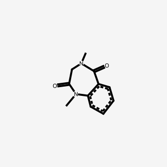 CN1CC(=O)N(C)c2ccccc2C1=O